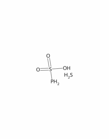 O=S(=O)(O)P.S